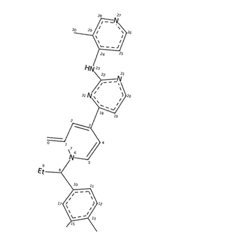 C=C/C=C(\C=C/N(C)C(CC)c1ccc(F)c(C)c1)c1ccnc(Nc2ccncc2C)n1